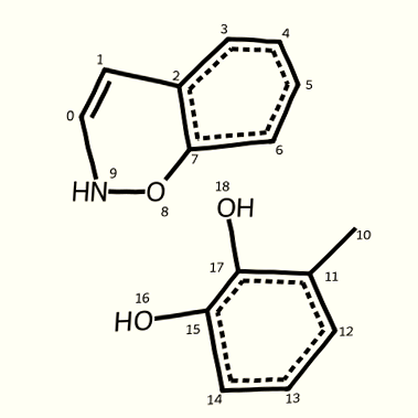 C1=Cc2ccccc2ON1.Cc1cccc(O)c1O